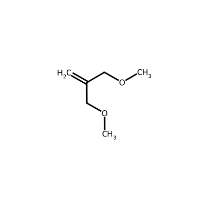 C=C(COC)COC